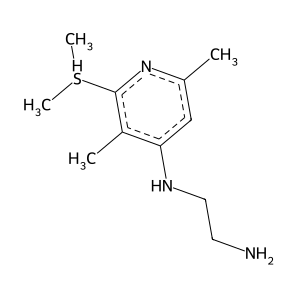 Cc1cc(NCCN)c(C)c([SH](C)C)n1